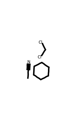 C1CCCCC1.CC#N.ClCCl